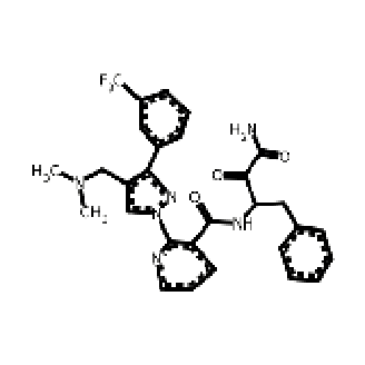 CN(C)Cc1cn(-c2ncccc2C(=O)NC(Cc2ccccc2)C(=O)C(N)=O)nc1-c1cccc(C(F)(F)F)c1